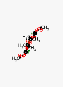 C=CC(=O)OCOc1ccc(C(=O)Oc2c(C)cc(S(=O)(=O)c3cc(C)c(OC(=O)c4ccc(OCOC(=O)C=C)cc4F)c(C)c3)cc2C)c(F)c1